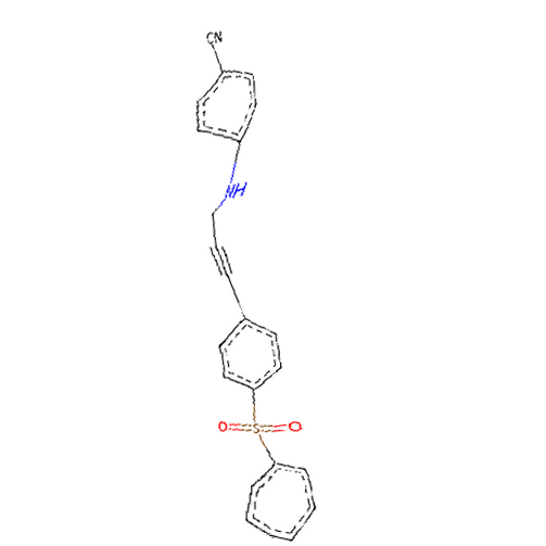 N#Cc1ccc(NCC#Cc2ccc(S(=O)(=O)c3ccccc3)cc2)cc1